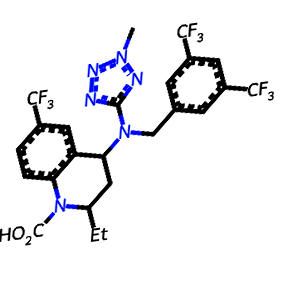 CCC1CC(N(Cc2cc(C(F)(F)F)cc(C(F)(F)F)c2)c2nnn(C)n2)c2cc(C(F)(F)F)ccc2N1C(=O)O